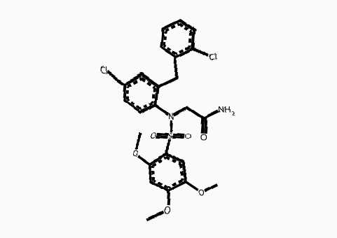 COc1cc(OC)c(S(=O)(=O)N(CC(N)=O)c2ccc(Cl)cc2Cc2ccccc2Cl)cc1OC